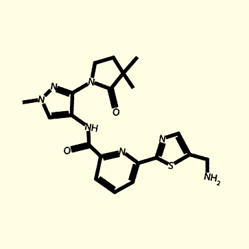 Cn1cc(NC(=O)c2cccc(-c3ncc(CN)s3)n2)c(N2CCC(C)(C)C2=O)n1